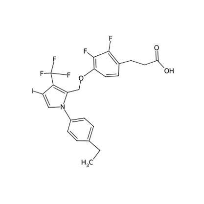 CCc1ccc(-n2cc(I)c(C(F)(F)F)c2COc2ccc(CCC(=O)O)c(F)c2F)cc1